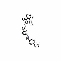 C=C(C)C(=O)OCCOc1ccc(/N=N/c2ccc(C#N)nc2)s1